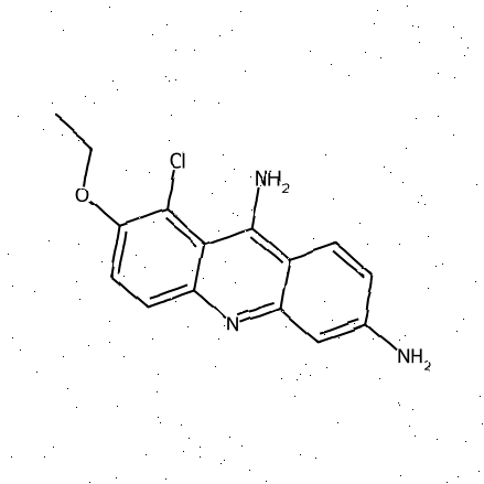 CCOc1ccc2nc3cc(N)ccc3c(N)c2c1Cl